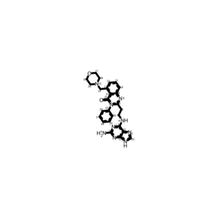 Nc1nc(NCCc2nc3cccc(CN4CCOCC4)c3c(=O)n2-c2ccccc2)c2nc[nH]c2n1